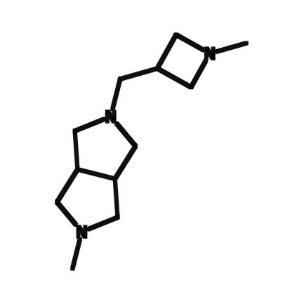 CN1CC(CN2CC3CN(C)CC3C2)C1